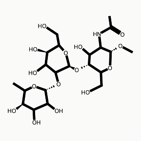 CO[C@@H]1OC(CO)[C@H](O[C@@H]2OC(CO)[C@H](O)C(O)C2O[C@H]2OC(C)[C@H](O)C(O)C2O)C(O)C1NC(C)=O